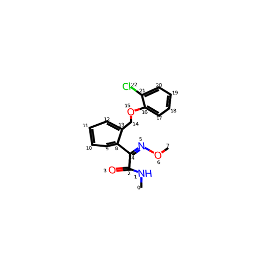 CNC(=O)/C(=N\OC)c1ccccc1COc1ccccc1Cl